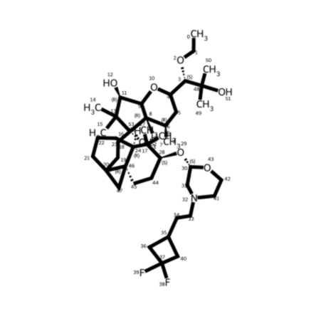 CCO[C@@H](C1C[C@@H](C)[C@H]2C(O1)[C@H](O)C(C)(C)[C@]2(C)CCC12CCC[C@H]3C(C)(C)[C@@H](O[C@H]4CN(CCC5CC(F)(F)C5)CCO4)CC[C@@]31C2)C(C)(C)O